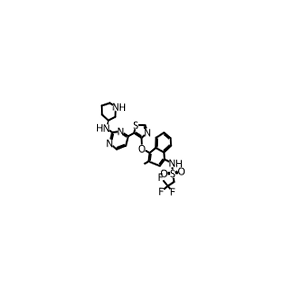 Cc1cc(NS(=O)(=O)CC(F)(F)F)c2ccccc2c1Oc1ncsc1-c1ccnc(N[C@H]2CCCNC2)n1